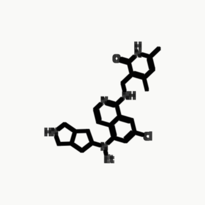 CCN(c1cc(Cl)cc2c(NCc3c(C)cc(C)[nH]c3=O)nccc12)C1CC2CNCC2C1